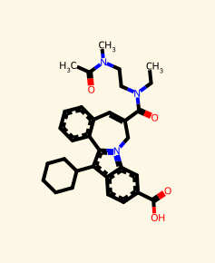 CCN(CCN(C)C(C)=O)C(=O)C1=Cc2ccccc2-c2c(C3CCCCC3)c3ccc(C(=O)O)cc3n2C1